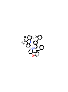 Cc1ccccc1-c1cc(-c2c(Nc3cccc4oc5ccccc5c34)ccc3ccccc23)c2c(c1)N1c3ccccc3C(C)(C)c3cccc(c31)B2